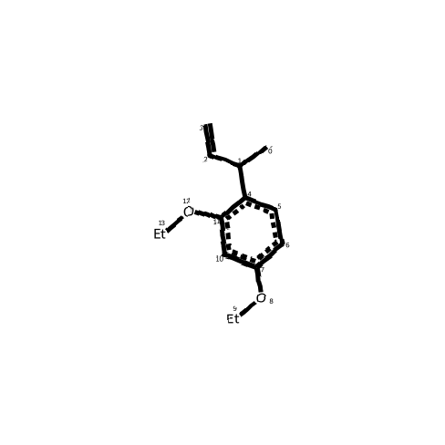 [CH2]C(C=C)c1ccc(OCC)cc1OCC